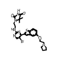 CC1(C)C(=O)NC(=O)N1CCNc1ncc(Br)c(-c2cc3cc(OCCN4CCCC4)ccc3s2)n1